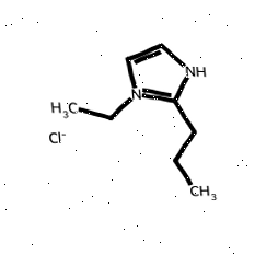 CCCc1[nH]cc[n+]1CC.[Cl-]